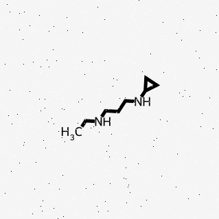 CCNCCCNC1CC1